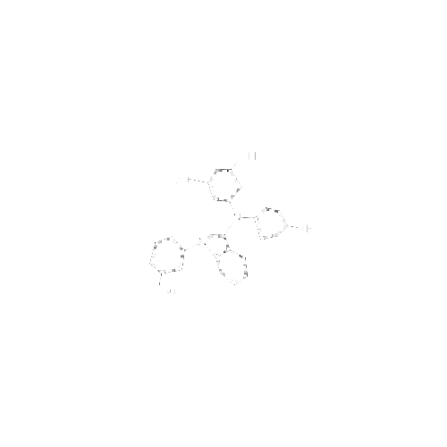 Cc1cc(N(c2ccc(C(C)(C)C)cc2)c2cn(-c3cc(C)cc(C(C)(C)C)c3)c3ccccc23)cc(C(C)(C)C)c1